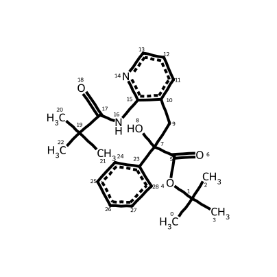 CC(C)(C)OC(=O)C(O)(Cc1cccnc1NC(=O)C(C)(C)C)c1ccccc1